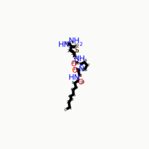 CCCCCCCCCC(=O)NCC(=O)N1CCC[C@H]1C(=O)NCc1cc(C(=N)N)cs1